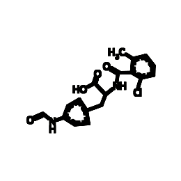 Cc1cccc(Cl)c1C(=O)NC(Cc1ccc(NC=O)cc1)C(=O)O